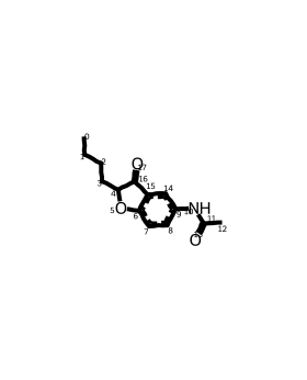 CCCCC1Oc2ccc(NC(C)=O)cc2C1=O